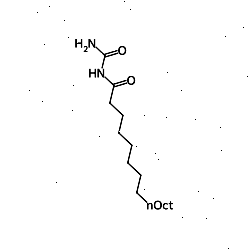 CCCCCCCCCCCCCCCC(=O)NC(N)=O